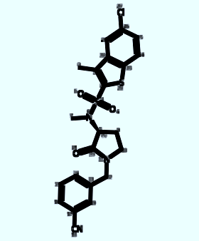 Cc1c(S(=O)(=O)N(C)[C@H]2CCN(Cc3cccc(C#N)c3)C2=O)sc2ccc(Cl)cc12